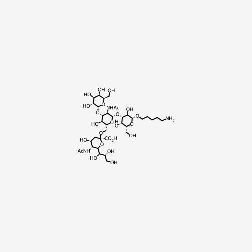 CC(=O)N[C@H]1[C@H](O[C@H]2[C@@H](O)[C@@H](CO)O[C@@H](OCCCCCN)[C@@H]2O)O[C@H](CO[C@]2(C(=O)O)C[C@H](O)[C@@H](NC(C)=O)[C@H]([C@H](O)[C@H](O)CO)O2)[C@@H](O)[C@@H]1O[C@@H]1O[C@H](CO)[C@H](O)[C@H](O)[C@H]1O